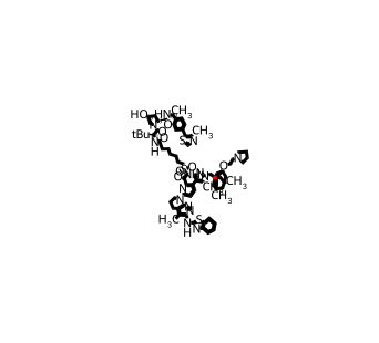 Cc1ncsc1-c1ccc([C@H](C)NC(=O)[C@@H]2C[C@@H](O)CN2C(=O)[C@@H](NC(=O)CCCCCCS(=O)(=O)NC(=O)c2nc(N3CCCc4c3nnc(Nc3nc5ccccc5s3)c4C)ccc2-c2cnn(CC34CC5(C)CC(C)(C3)CC(OCCN3CCCC3)(C5)C4)c2C)C(C)(C)C)cc1